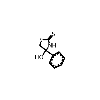 OC1(c2ccccc2)CSC(=S)N1